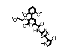 COCCOc1c(-c2c(OC)cccc2OC)cc(C(=O)Nc2nnc(-c3c(Cl)ccn3C)s2)oc1=O